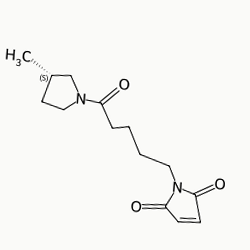 C[C@H]1CCN(C(=O)CCCCN2C(=O)C=CC2=O)C1